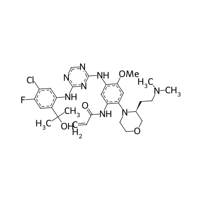 C=CC(=O)Nc1cc(Nc2ncnc(Nc3cc(Cl)c(F)cc3C(C)(C)O)n2)c(OC)cc1N1CCOC[C@@H]1CCN(C)C